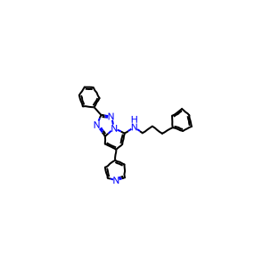 c1ccc(CCCNc2cc(-c3ccncc3)cc3nc(-c4ccccc4)nn23)cc1